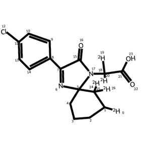 [2H]C1CCCC2(N=C(c3ccc(Cl)cc3)C(=O)N2C([2H])([2H])C(=O)O)C1([2H])[2H]